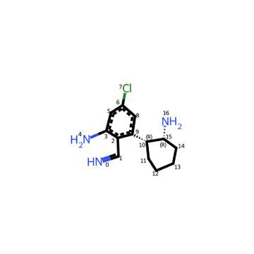 N=Cc1c(N)cc(Cl)cc1[C@H]1CCCC[C@H]1N